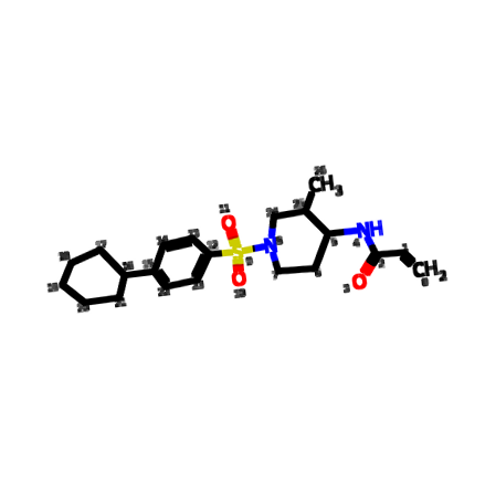 C=CC(=O)NC1CCN(S(=O)(=O)c2ccc(C3CCCCC3)cc2)CC1C